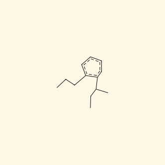 CCCc1ccccc1C(C)CC